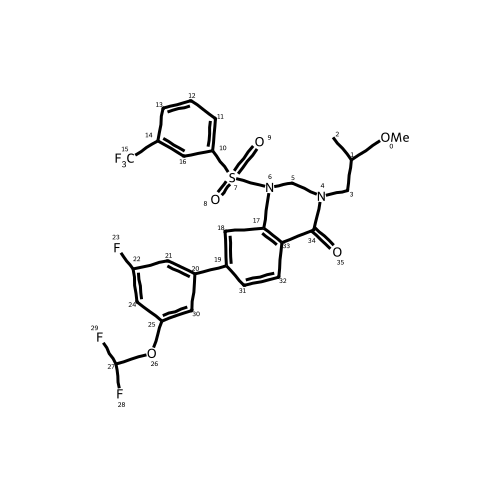 COC(C)CN1CN(S(=O)(=O)c2cccc(C(F)(F)F)c2)c2cc(-c3cc(F)cc(OC(F)F)c3)ccc2C1=O